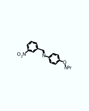 CCCOc1ccc(/N=C/c2cccc([N+](=O)[O-])c2)cc1